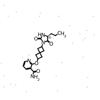 CCC[C@@H]1NC(=O)N(C2CC3(CC(Oc4ncccc4C(N)=O)C3)C2)C1=O